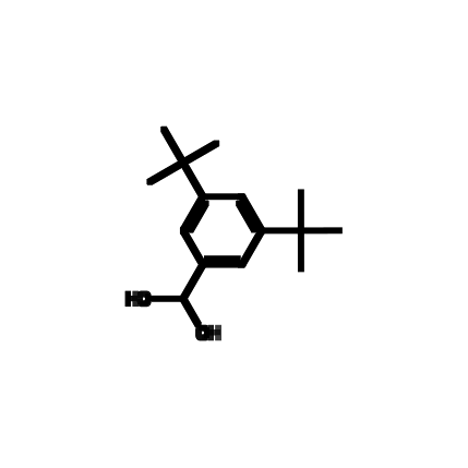 CC(C)(C)c1cc(C(O)O)cc(C(C)(C)C)c1